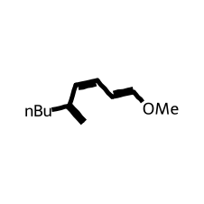 C=C(/C=C\C=C\OC)CCCC